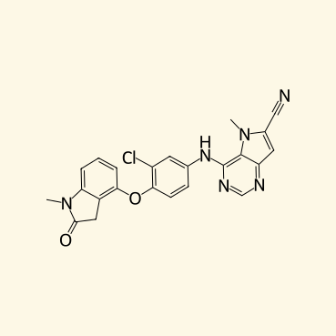 CN1C(=O)Cc2c(Oc3ccc(Nc4ncnc5cc(C#N)n(C)c45)cc3Cl)cccc21